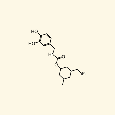 CC(C)CC1CC(C)CC(OC(=O)NCc2ccc(O)c(O)c2)C1